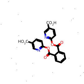 O=C(O)c1ccc(OC(=O)c2ccccc2C(=O)Oc2ccc(C(=O)O)cn2)nc1